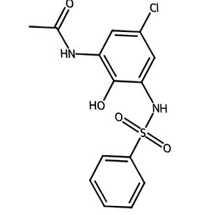 CC(=O)Nc1cc(Cl)cc(NS(=O)(=O)c2ccccc2)c1O